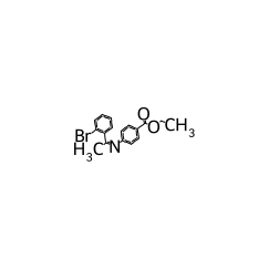 CCOC(=O)c1ccc(N=C(C)c2ccccc2Br)cc1